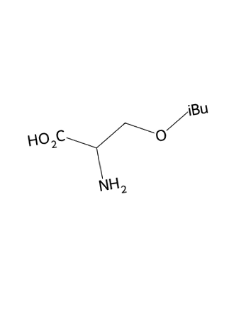 CCC(C)OCC(N)C(=O)O